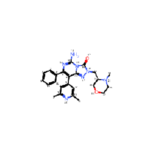 Cc1cc(-c2c(-c3ccccc3)nc(N)n3c(=O)n(C[C@@H]4COCCN4C)nc23)cc(C)n1